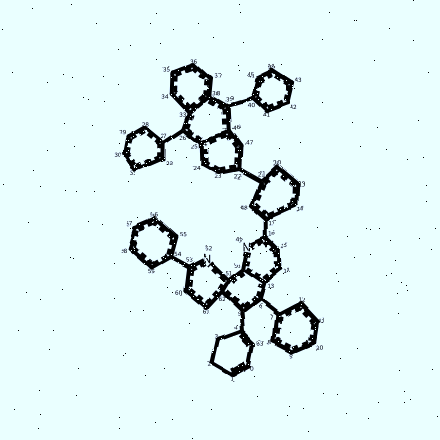 C1=CCCC(c2c(-c3ccccc3)c3ccc(-c4cccc(-c5ccc6c(-c7ccccc7)c7ccccc7c(-c7ccccc7)c6c5)c4)nc3c3nc(-c4ccccc4)ccc23)=C1